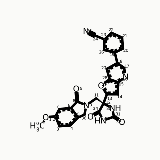 COc1ccc2c(c1)C(=O)N(C[C@@]1(c3cc4ncc(-c5cccc(C#N)c5)cc4o3)NC(=O)NC1=O)C2